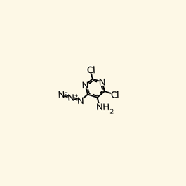 [N-]=[N+]=Nc1nc(Cl)nc(Cl)c1N